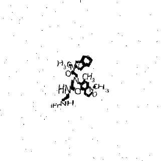 Cc1cc2c(cc1N(CC(=O)NCCNC(C)C)CC(=O)N(C)N1Cc3ccccc3C1)CCC(=O)N2C